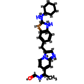 C/C(=N/C=O)c1ccn2c(Cc3ccc4c(c3)SC(NC3CCCCC3)N4)cnc2c1